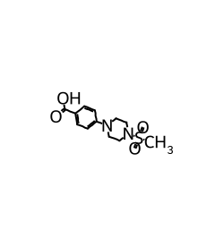 CS(=O)(=O)N1CCN(c2ccc(C(=O)O)cc2)CC1